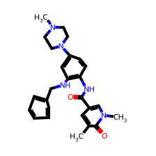 Cc1cc(C(=O)Nc2ccc(N3CCN(C)CC3)cc2NCc2ccccc2)cn(C)c1=O